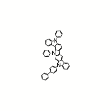 c1ccc(-c2ccc(-n3c4ccccc4c4cc5c6ccc7c(c8ccccc8n7-c7ccccc7)c6n(-c6ccccc6)c5cc43)cc2)cc1